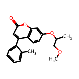 COCC(C)Oc1ccc2c(-c3ccccc3C)cc(=O)oc2c1